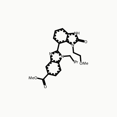 COCCn1c(=O)[nH]c2cccc(-c3nc4cc(C(=O)OC)ccc4n3CC(C)C)c21